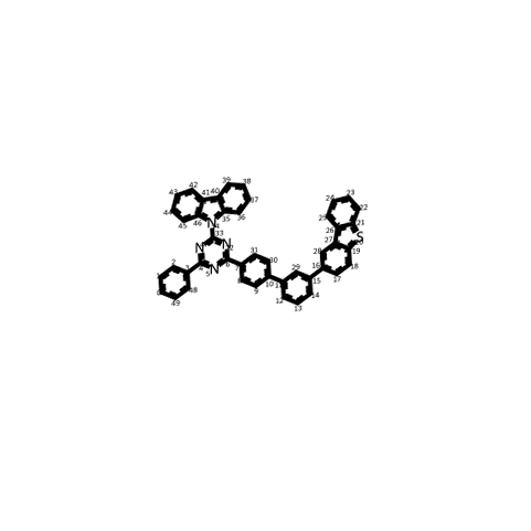 c1ccc(-c2nc(-c3ccc(-c4cccc(-c5ccc6sc7ccccc7c6c5)c4)cc3)nc(-n3c4ccccc4c4ccccc43)n2)cc1